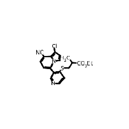 CCOC(=O)C(C)CSc1ccncc1-c1ccc(C#N)c2c(Cl)ccn12